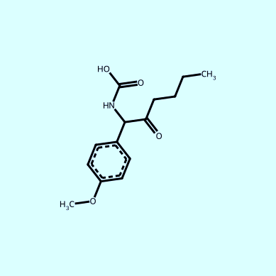 CCCCC(=O)C(NC(=O)O)c1ccc(OC)cc1